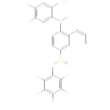 C/C=C\c1cc(S(=O)Oc2c(F)c(F)c(F)c(F)c2F)ccc1N(C=O)c1cc(F)c(Br)cc1OC